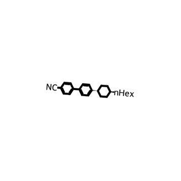 CCCCCC[C@H]1CC[C@H](c2ccc(-c3ccc(C#N)cc3)cc2)CC1